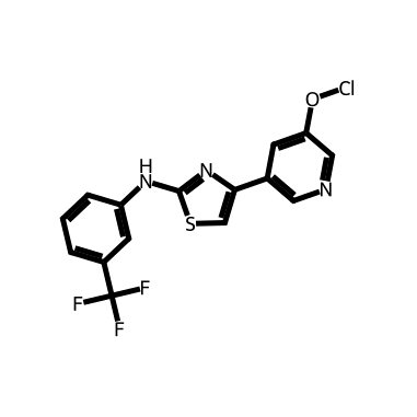 FC(F)(F)c1cccc(Nc2nc(-c3cncc(OCl)c3)cs2)c1